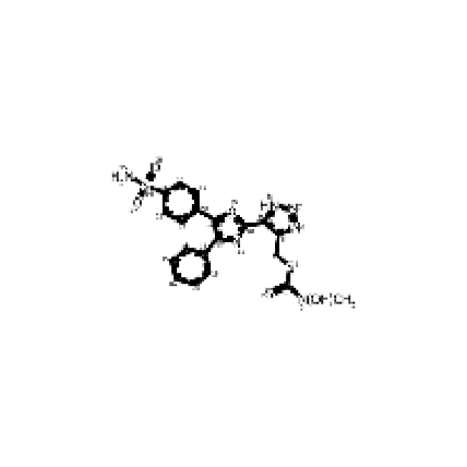 CN(O)C(=S)SCc1nn[nH]c1-c1nc(-c2ccccc2)c(-c2ccc(S(N)(=O)=O)cc2)o1